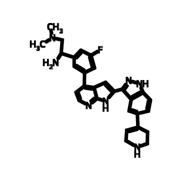 CN(C)CC(N)c1cc(F)cc(-c2ccnc3[nH]c(-c4n[nH]c5ccc(C6=CCNCC6)cc45)cc23)c1